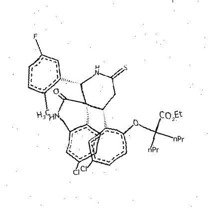 CCCC(CCC)(Oc1ccc(Cl)cc1[C@H]1CC(=S)N[C@@H](c2cc(F)ccc2C)[C@]12C(=O)Nc1cc(Cl)ccc12)C(=O)OCC